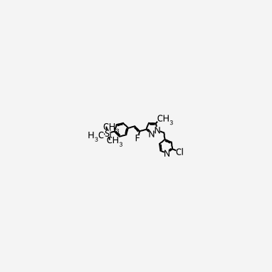 Cc1cc(C(F)=Cc2ccc([Si](C)(C)C)cc2)nn1Cc1ccnc(Cl)c1